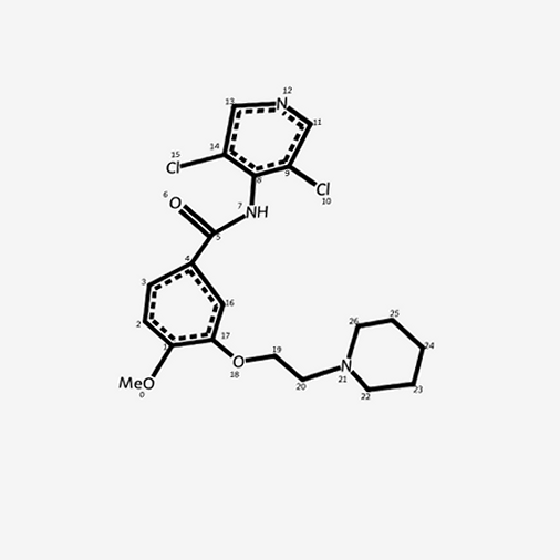 COc1ccc(C(=O)Nc2c(Cl)cncc2Cl)cc1OCCN1CCCCC1